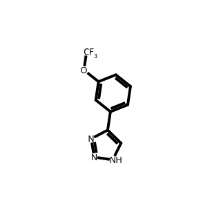 FC(F)(F)Oc1cccc(-c2c[nH]nn2)c1